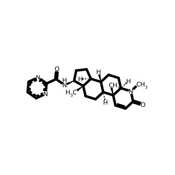 CN1C(=O)C=C[C@]2(C)[C@H]3CC[C@]4(C)[C@@H](NC(=O)c5ncccn5)CC[C@H]4[C@@H]3CC[C@@H]12